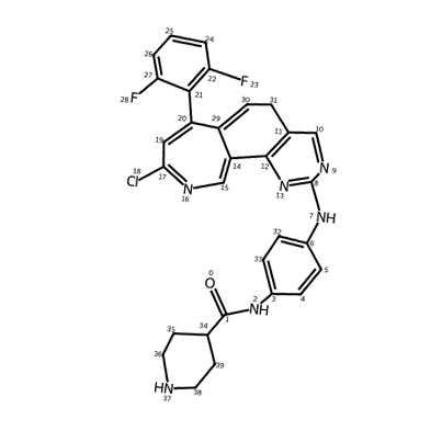 O=C(Nc1ccc(Nc2ncc3c(n2)C2=CN=C(Cl)C=C(c4c(F)cccc4F)C2=CC3)cc1)C1CCNCC1